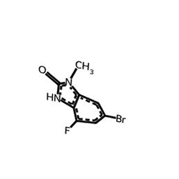 Cn1c(=O)[nH]c2c(F)cc(Br)cc21